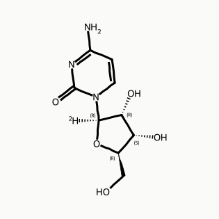 [2H][C@@]1(n2ccc(N)nc2=O)O[C@H](CO)[C@@H](O)[C@H]1O